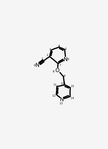 N#Cc1cccnc1OCc1ccncc1